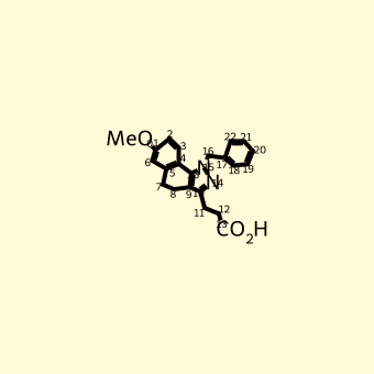 COc1ccc2c(c1)CCc1c(CCC(=O)O)nn(Cc3ccccc3)c1-2